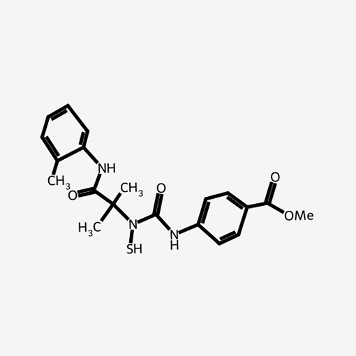 COC(=O)c1ccc(NC(=O)N(S)C(C)(C)C(=O)Nc2ccccc2C)cc1